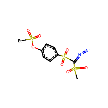 CCS(=O)(=O)Oc1ccc(S(=O)(=O)C(=[N+]=[N-])S(C)(=O)=O)cc1